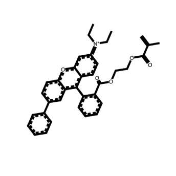 C=C(C)C(=O)OCCOC(=O)c1ccccc1-c1c2ccc(=[N+](CC)CC)cc-2oc2ccc(-c3ccccc3)cc12